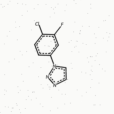 Fc1cc(-n2c[c]nn2)ccc1Cl